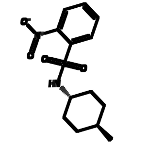 C[C@H]1CC[C@H](NS(=O)(=O)c2ccccc2[N+](=O)[O-])CC1